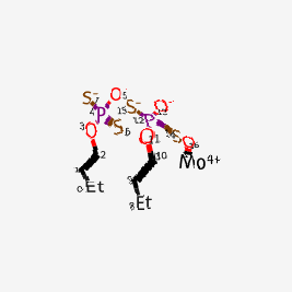 CCC=COP([O-])(=S)[S-].CCC=COP([O-])(=S)[S-].[O]=[Mo+4]